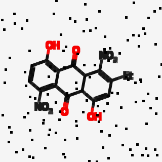 CCC1=C([N+](=O)[O-])C2C(=O)c3c(O)ccc([N+](=O)[O-])c3C(=O)C2C(O)=C1